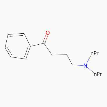 CCCN(CCC)CCCC(=O)c1ccccc1